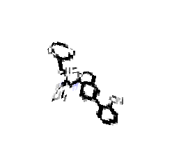 C/N=C(\C=C1\c2ccc(-c3ccccc3C#N)cc2CCN1C=O)OCC1COCCO1